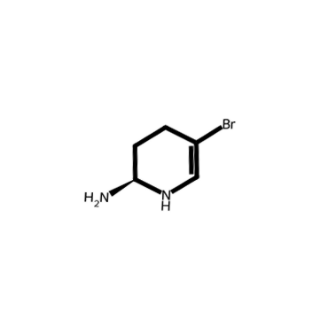 N[C@H]1CCC(Br)=CN1